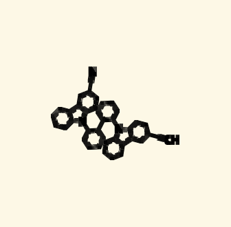 C#Cc1ccc2c(c1)c1ccccc1n2-c1ccccc1-c1ccccc1-n1c2ccccc2c2cc(C#N)ccc21